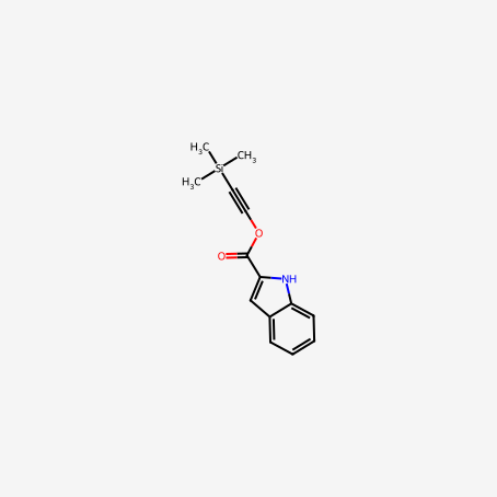 C[Si](C)(C)C#COC(=O)c1cc2ccccc2[nH]1